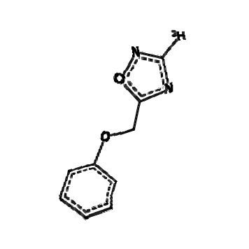 [2H]c1noc(COc2ccccc2)n1